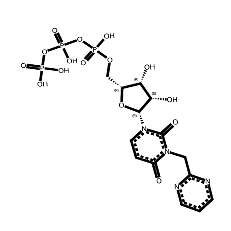 O=c1ccn([C@@H]2O[C@H](COP(=O)(O)OP(=O)(O)OP(=O)(O)O)[C@H](O)[C@@H]2O)c(=O)n1Cc1ncccn1